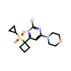 O=S(=O)(C1CC1)C1(c2cc(N3CCOCC3)nc(Cl)n2)CCC1